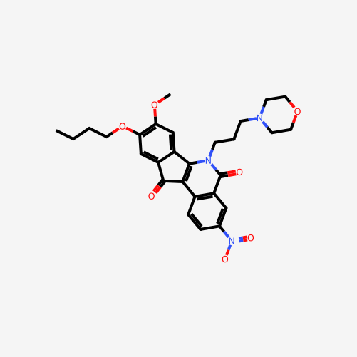 CCCCOc1cc2c(cc1OC)-c1c(c3ccc([N+](=O)[O-])cc3c(=O)n1CCCN1CCOCC1)C2=O